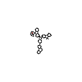 CC1(C)c2ccccc2-c2ccc(N(c3ccc(-c4ccc5c(ccc6ccccc65)c4)cc3)c3ccc4c(c3)-c3ccccc3C43C4CC5CC6CC3(C5)C6C4)cc21